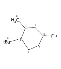 CC1CC(F)CCC1C(C)(C)C